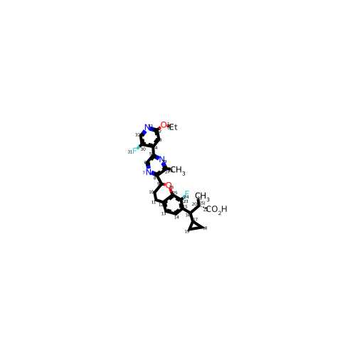 CCOc1cc(-c2cnc(C3CCc4ccc(C(C5CC5)[C@H](C)C(=O)O)c(F)c4O3)c(C)n2)c(F)cn1